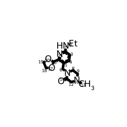 CCNc1ccc(CN2CCN(C)CC2=O)c(C2OCCO2)n1